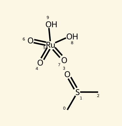 CS(C)=O.[O]=[Ru](=[O])(=[O])([OH])[OH]